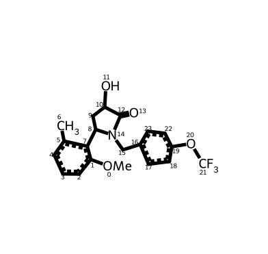 COc1cccc(C)c1C1CC(O)C(=O)N1Cc1ccc(OC(F)(F)F)cc1